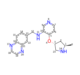 C[C@@H]1C[C@@H](Oc2ccncc2NCc2ccc3nccnc3c2)CN1